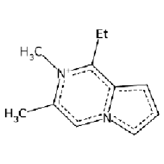 CCc1c2cccn2cc(C)[n+]1C